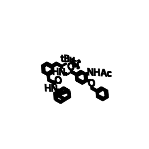 CC(=O)Nc1cc([C@H](CN[C@H](C)Cc2cccc(CC(=O)NC34CC5CC(CC(C5)C3)C4)c2)O[Si](C)(C)C(C)(C)C)ccc1OCc1ccccc1